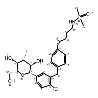 C[C@@H]1[C@@H](O)[C@H](c2ccc(Cl)c(Cc3ccc(OCCCNP(C)(C)=O)cc3)c2)O[C@H](CO)[C@H]1O